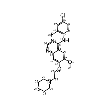 COc1cc2c(Nc3ccc(Cl)cc3F)ncnc2cc1OCCN1CCSCC1